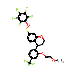 COCCOc1cc(C(F)(F)F)ccc1C1CCOc2cc(SOc3c(F)c(F)c(F)c(F)c3F)ccc21